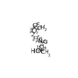 Cc1cc(CC2CC3(C2)CN(C(=O)[C@H]2C[C@@](C)(O)C2)C3)ccc1C(F)(F)F